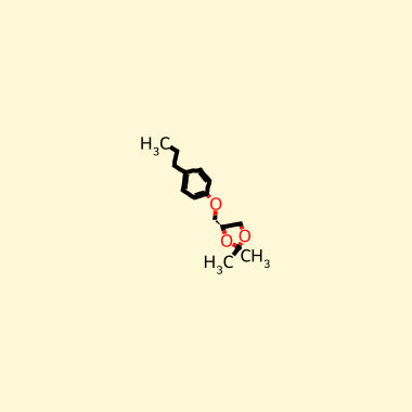 CCCc1ccc(OC[C@@H]2COC(C)(C)O2)cc1